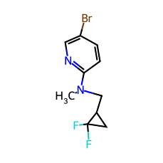 CN(CC1CC1(F)F)c1ccc(Br)cn1